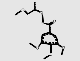 COC[C](C)OOC(=O)c1cc(OC)c(OC)c(OC)c1